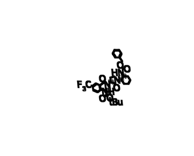 CC(C)(C)OC(=O)Nc1ccc(C(F)(F)F)cc1C(=O)N[C@H]1CCN([C@H]2CCCC[C@H]2NC(=O)OCc2ccccc2)C1=O